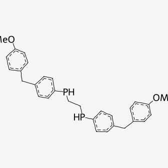 COc1ccc(Cc2ccc(PCCPc3ccc(Cc4ccc(OC)cc4)cc3)cc2)cc1